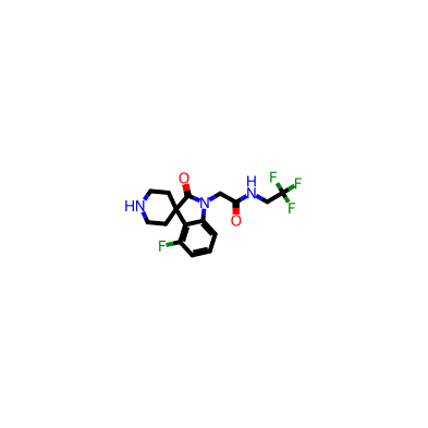 O=C(CN1C(=O)C2(CCNCC2)c2c(F)cccc21)NCC(F)(F)F